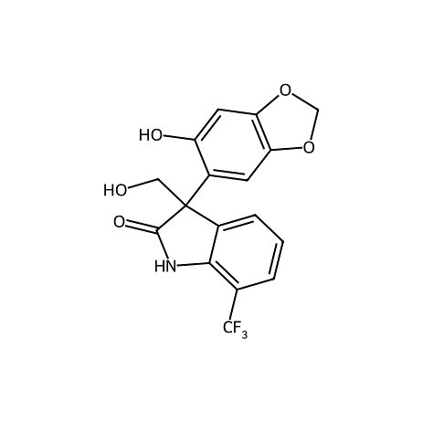 O=C1Nc2c(C(F)(F)F)cccc2C1(CO)c1cc2c(cc1O)OCO2